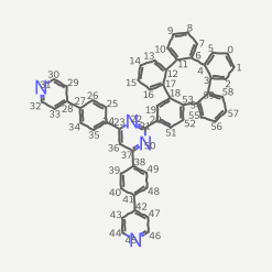 c1ccc2c(c1)c1ccccc1c1ccccc1c1cc(-c3nc(-c4ccc(-c5ccncc5)cc4)cc(-c4ccc(-c5ccncc5)cc4)n3)ccc1c1ccccc21